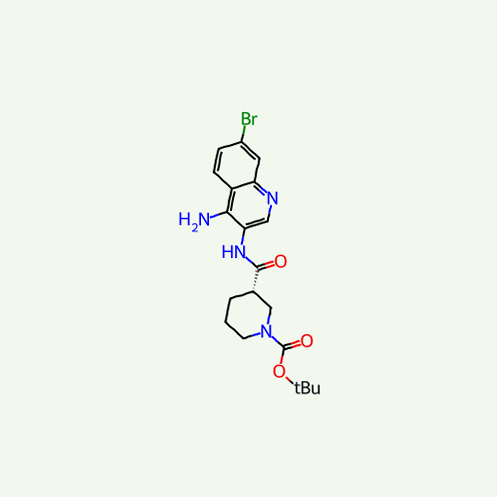 CC(C)(C)OC(=O)N1CCC[C@H](C(=O)Nc2cnc3cc(Br)ccc3c2N)C1